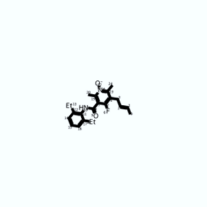 C/C=C/Cc1c(F)c(C(=O)Nc2c(CC)cccc2CC)c(C)[n+]([O-])c1C